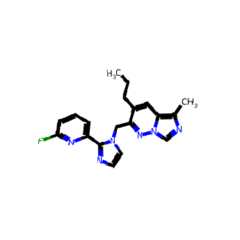 CCCc1cc2c(C)ncn2nc1Cn1ccnc1-c1cccc(F)n1